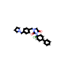 O=C1CN(Cc2ccc(CN3CCCC3)cc2)C(=O)N1C1(Cl)C=CC(c2ccccc2)C=C1